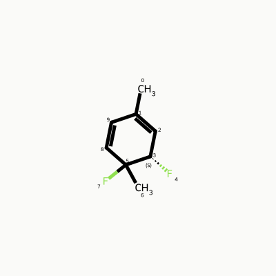 CC1=C[C@H](F)C(C)(F)C=C1